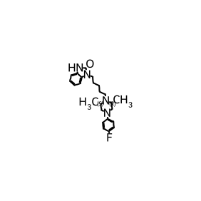 C[C@@H]1CN(c2ccc(F)cc2)C[C@H](C)N1CCCCCn1c(=O)[nH]c2ccccc21